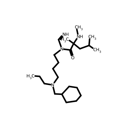 CCCN(CCCCN(C=N)C(=O)C(C)(CC(C)C)NC)CC1CCCCC1